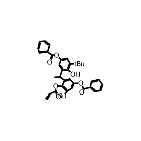 C=CC(=O)Oc1c(C(C)c2cc(OC(=O)c3ccccc3)cc(C(C)(C)C)c2O)cc(OC(=O)c2ccccc2)cc1C(C)(C)C